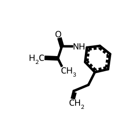 C=C(C)C(N)=O.C=CCc1ccccc1